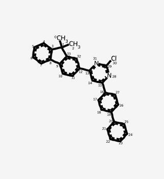 CC1(C)c2ccccc2-c2ccc(-c3cc(-c4ccc(-c5ccccc5)cc4)nc(Cl)n3)cc21